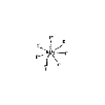 [F][Nb]([F])([F])([F])([F])([F])[F]